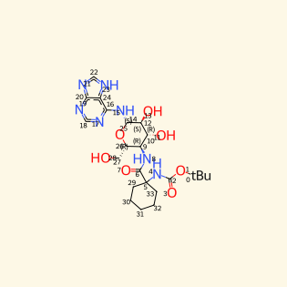 CC(C)(C)OC(=O)NC1(C(=O)N[C@@H]2[C@@H](O)[C@H](O)[C@@H](Nc3ncnc4nc[nH]c34)O[C@H]2CO)CCCCC1